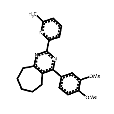 COc1ccc(-c2nc(-c3cccc(C)n3)nc3c2CCCCC3)cc1OC